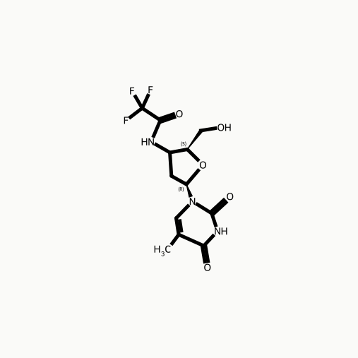 Cc1cn([C@H]2CC(NC(=O)C(F)(F)F)[C@@H](CO)O2)c(=O)[nH]c1=O